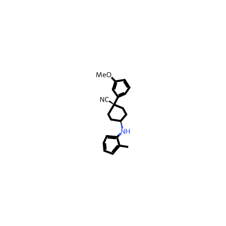 COc1cccc([C@]2(C#N)CC[C@@H](Nc3ccccc3C)CC2)c1